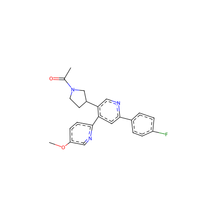 COc1ccc(-c2cc(-c3ccc(F)cc3)ncc2C2CCN(C(C)=O)C2)nc1